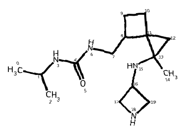 CC(C)NC(=O)NCC1CCC12CC2(C)NC1CNC1